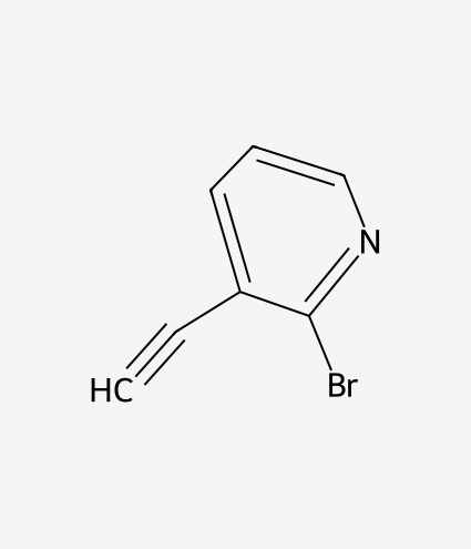 C#Cc1cccnc1Br